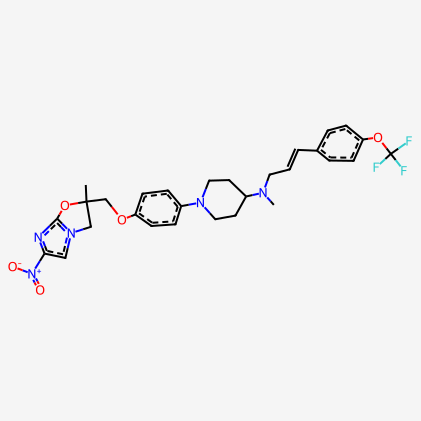 CN(CC=Cc1ccc(OC(F)(F)F)cc1)C1CCN(c2ccc(OCC3(C)Cn4cc([N+](=O)[O-])nc4O3)cc2)CC1